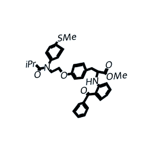 COC(=O)C(Cc1ccc(OCCN(C(=O)C(C)C)c2ccc(SC)cc2)cc1)Nc1ccccc1C(=O)c1ccccc1